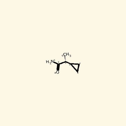 C[C@@H](C(N)=O)C1CC1